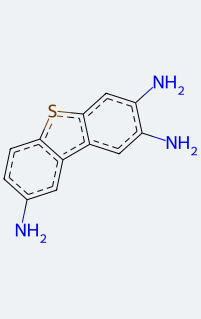 Nc1ccc2sc3cc(N)c(N)cc3c2c1